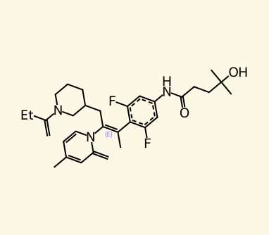 C=C(CC)N1CCCC(C/C(=C(/C)c2c(F)cc(NC(=O)CCC(C)(C)O)cc2F)N2C=CC(C)=CC2=C)C1